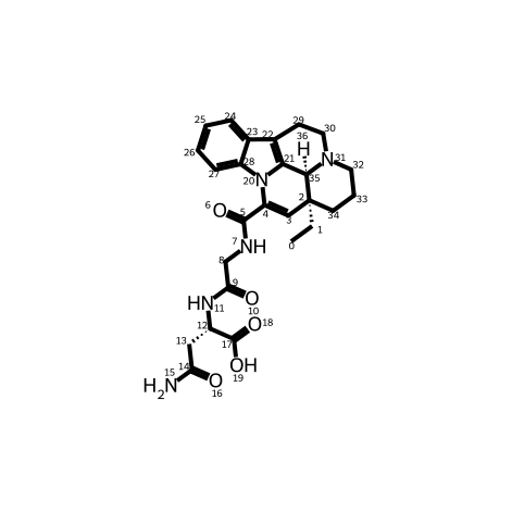 CC[C@@]12C=C(C(=O)NCC(=O)N[C@@H](CC(N)=O)C(=O)O)n3c4c(c5ccccc53)CCN(CCC1)[C@H]42